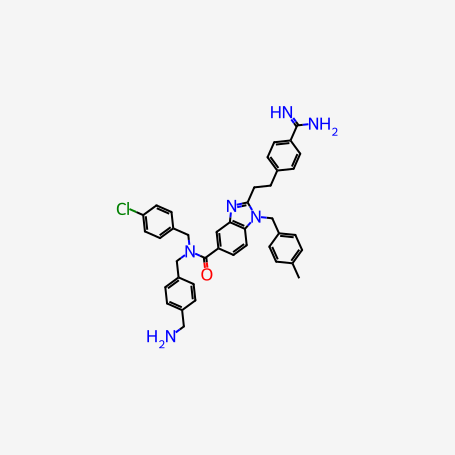 Cc1ccc(Cn2c(CCc3ccc(C(=N)N)cc3)nc3cc(C(=O)N(Cc4ccc(Cl)cc4)Cc4ccc(CN)cc4)ccc32)cc1